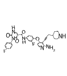 Nc1nccc(Oc2ccc(NC(=O)c3c[nH]c(=O)n(-c4ccc(F)cc4)c3=O)cc2F)c1C#CCC1CCNCC1